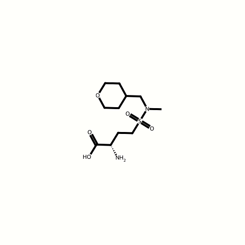 CN(CC1CCOCC1)S(=O)(=O)CC[C@H](N)C(=O)O